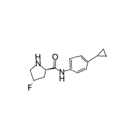 O=C(Nc1ccc(C2CC2)cc1)[C@H]1C[C@H](F)CN1